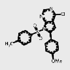 COc1ccc(-c2cc3c(Cl)ncnc3n2S(=O)(=O)c2ccc(C)cc2)cc1